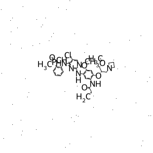 C=CC(=O)Nc1cc(Nc2ncc(Cl)c(Nc3ccccc3P(C)(C)=O)n2)c(OC)cc1OC(COC)CN1CCC1